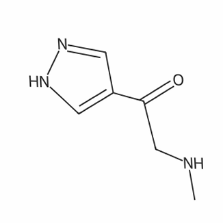 CNCC(=O)c1cn[nH]c1